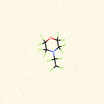 FC(F)C(F)(F)N1C(F)(F)C(F)(F)OC(F)(F)C1(F)F